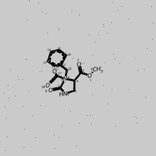 COC(=O)C1CNC(=O)[N+]1(Cc1ccccc1)C(=O)[O-]